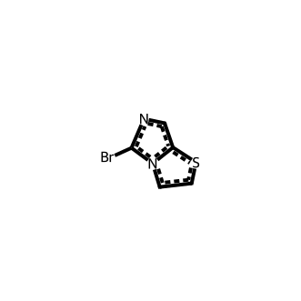 Brc1ncc2sccn12